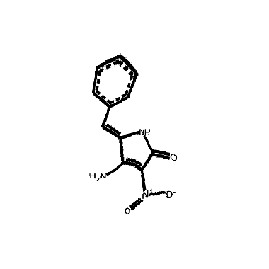 NC1=C([N+](=O)[O-])C(=O)N/C1=C\c1ccccc1